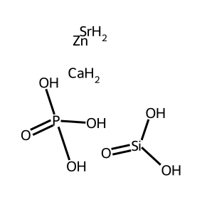 O=P(O)(O)O.O=[Si](O)O.[CaH2].[SrH2].[Zn]